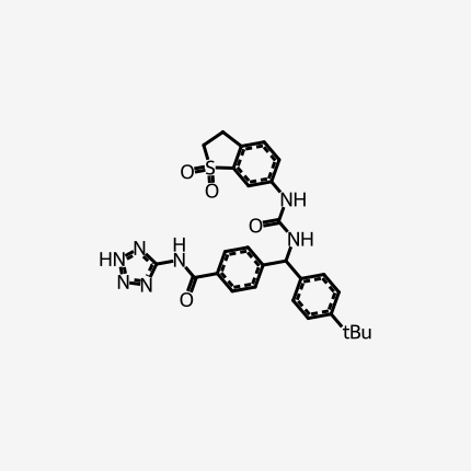 CC(C)(C)c1ccc(C(NC(=O)Nc2ccc3c(c2)S(=O)(=O)CC3)c2ccc(C(=O)Nc3nn[nH]n3)cc2)cc1